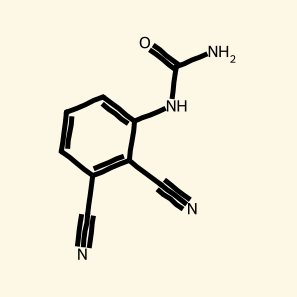 N#Cc1cccc(NC(N)=O)c1C#N